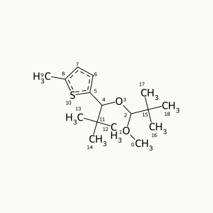 COC(OC(c1ccc(C)s1)C(C)(C)C)C(C)(C)C